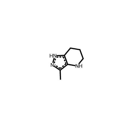 Cc1n[nH]c2c1NCCC2